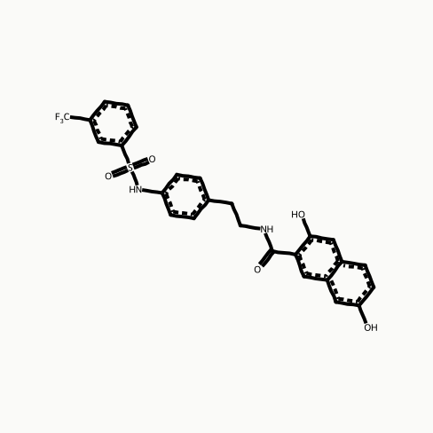 O=C(NCCc1ccc(NS(=O)(=O)c2cccc(C(F)(F)F)c2)cc1)c1cc2cc(O)ccc2cc1O